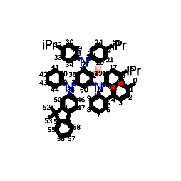 Cc1ccc(-c2ccccc2N2c3ccc(C(C)C)cc3B3c4cc(C(C)C)ccc4N(c4ccc(C(C)C)cc4)c4cc(N(c5ccccc5)c5ccc6c(c5)C(C)(C)c5ccccc5-6)cc2c43)cc1